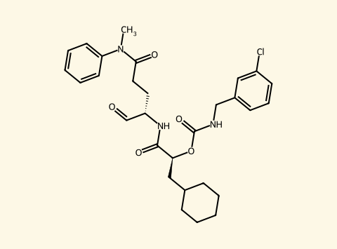 CN(C(=O)CC[C@@H](C=O)NC(=O)[C@H](CC1CCCCC1)OC(=O)NCc1cccc(Cl)c1)c1ccccc1